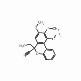 CCC1(C#N)Oc2ccccc2-c2c1cc(OC)c(OC)c2OC